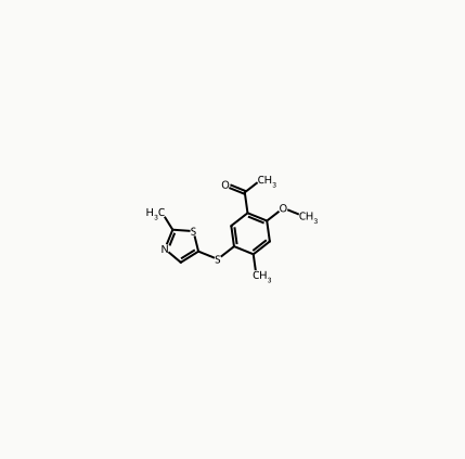 COc1cc(C)c(Sc2cnc(C)s2)cc1C(C)=O